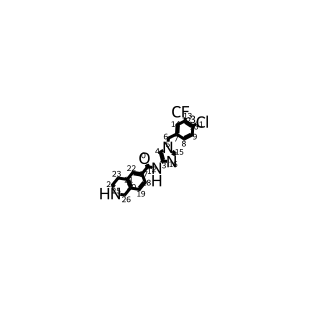 O=C(Nc1cn(Cc2ccc(Cl)c(C(F)(F)F)c2)cn1)c1ccc2c(c1)CCNC2